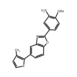 COc1ccc(-c2nc3cc(-c4sccc4C)ccc3o2)cc1[N+](=O)[O-]